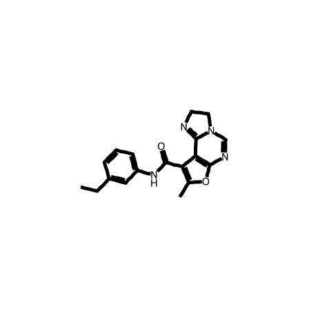 CCc1cccc(NC(=O)c2c(C)oc3c2C2=NCCN2C=N3)c1